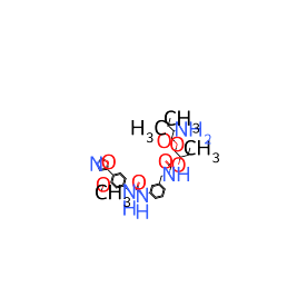 CCC(COC(=O)[C@H](N)C(C)C)OC(=O)NCc1cccc(NC(=O)Nc2ccc(-c3cnco3)c(OC)c2)c1